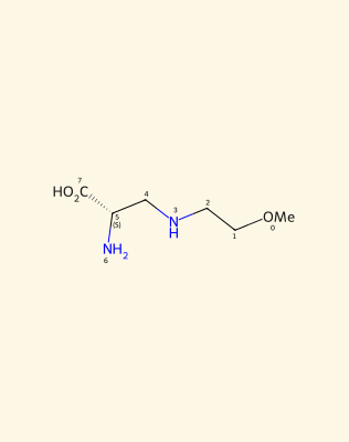 COCCNC[C@H](N)C(=O)O